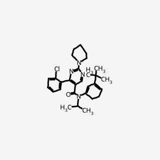 CC(C)N(C(=O)c1cnc(N2CCCCC2)nc1-c1ccccc1Cl)C1=CC(C(C)(C)C)=CCC1